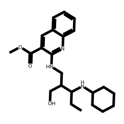 CCC(NC1CCCCC1)C(CO)CNc1nc2ccccc2cc1C(=O)OC